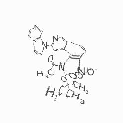 CC(=O)N(C(=O)OC(C)(C)C)c1c([N+](=O)[O-])ccc2cnc(-n3ccc4ccncc43)cc12